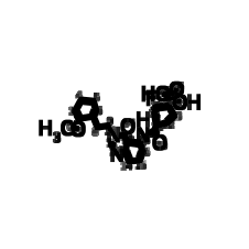 COc1ccccc1CCn1cnc2cccc(NC(=O)c3ccc(P(=O)(O)O)c(F)c3)c2c1=O